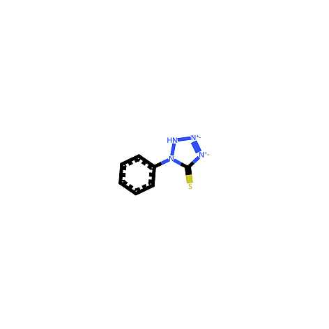 S=C1[N+]=[N+]NN1c1ccccc1